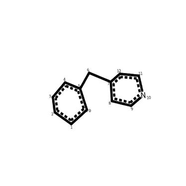 [c]1ccccc1Cc1ccncc1